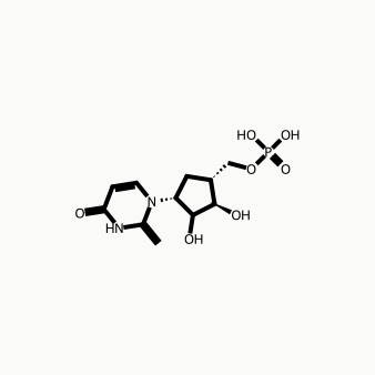 C=C1NC(=O)C=CN1[C@@H]1C[C@H](COP(=O)(O)O)[C@@H](O)C1O